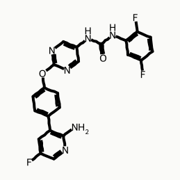 Nc1ncc(F)cc1-c1ccc(Oc2ncc(NC(=O)Nc3cc(F)ccc3F)cn2)cc1